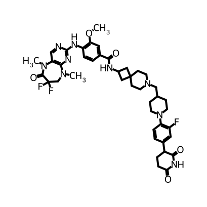 COc1cc(C(=O)NC2CC3(CCN(CC4CCN(c5ccc(C6CCC(=O)NC6=O)cc5F)CC4)CC3)C2)ccc1Nc1ncc2c(n1)N(C)CC(F)(F)C(=O)N2C